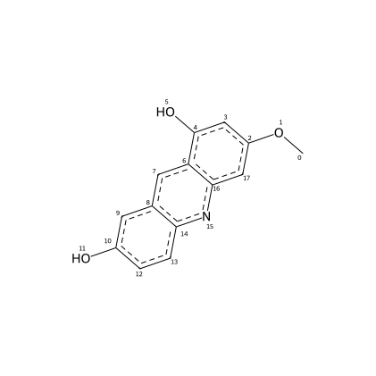 COc1cc(O)c2cc3cc(O)ccc3nc2c1